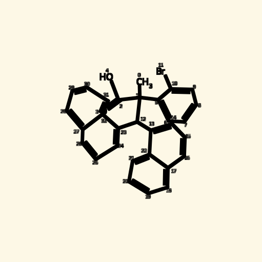 CC(C(=O)O)(c1ccccc1Br)C(c1cccc2ccccc12)c1cccc2ccccc12